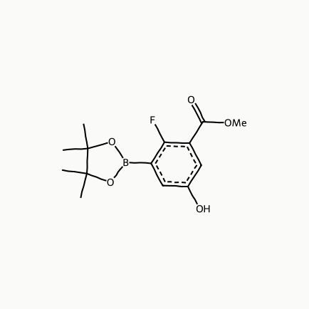 COC(=O)c1cc(O)cc(B2OC(C)(C)C(C)(C)O2)c1F